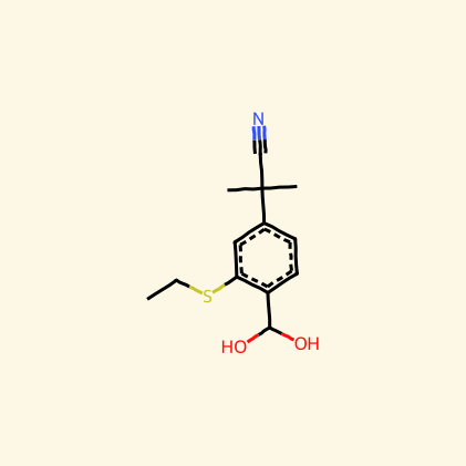 CCSc1cc(C(C)(C)C#N)ccc1C(O)O